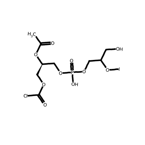 CC(=O)O[C@H](COC(=O)Cl)COP(=O)(O)OCC(CO)OI